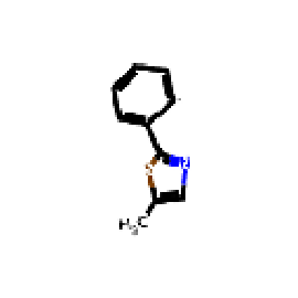 Cc1cnc(-c2[c]cccc2)s1